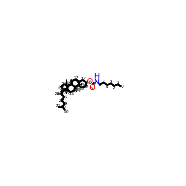 CCCCCCCNC(=O)O[C@H]1CC[C@@]2(C)C(=CC[C@H]3[C@@H]4CC[C@H]([C@H](C)CCCC(C)C)[C@@]4(C)CC[C@@H]32)C1